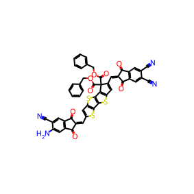 N#Cc1cc2c(cc1N)C(=O)/C(=C/c1cc3sc4c5c(sc4c3s1)C=C(C=C1C(=O)c3cc(C#N)c(C#N)cc3C1=O)C5(C(=O)OCc1ccccc1)C(=O)OCc1ccccc1)C2=O